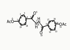 CC(=O)Oc1ccc(C(=O)NNC(=O)c2ccc(OC(C)=O)cc2)cc1